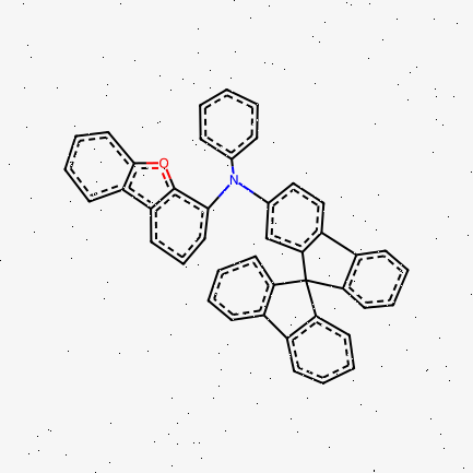 c1ccc(N(c2ccc3c(c2)C2(c4ccccc4-c4ccccc42)c2ccccc2-3)c2cccc3c2oc2ccccc23)cc1